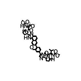 COC(=O)N[C@H](C(=O)N1C(c2ncc(-c3ccc4c(c3)COc3cc5c(ccc6nc(C7CC[C@H](C)N7C(=O)[C@@H](NC(=O)OC)[C@H](C)OC)[nH]c65)cc3-4)[nH]2)CC[C@@H]1C)C(C)C